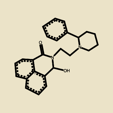 O=C1c2cccc3cccc(c23)C(O)N1CCN1CCCCC1c1ccccc1